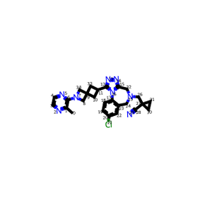 Cc1nccnc1N1CC2(CC(c3nnc4n3-c3ccc(Cl)cc3CN(CC3(C#N)CC3)C4)C2)C1